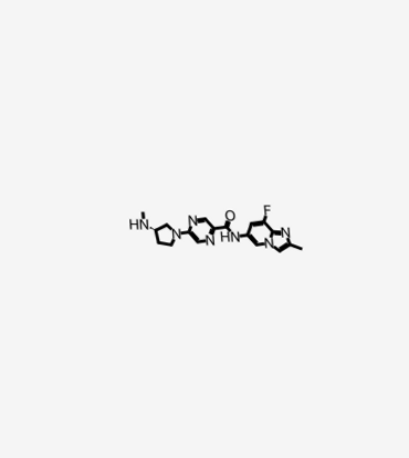 CN[C@H]1CCN(c2cnc(C(=O)Nc3cc(F)c4nc(C)cn4c3)cn2)C1